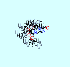 CC(C)(C)[Si](C)(C)OC[C@@H]1C(O[Si](C)(C)C(C)(C)C)C(O[Si](C)(C)C(C)(C)C)C(O[Si](C)(C)C(C)(C)C)CN1Cc1cnc(C=O)cn1